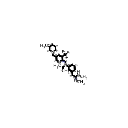 C=CN(/C=C1/C(C(F)(F)F)=CC(CN2CCC[C@H](C)C2)=CN1C)c1cccc(C/C(=N/C)NC)c1